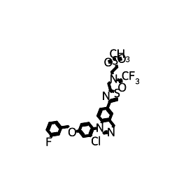 CS(=O)(=O)CCN(Cc1nc(-c2ccc3c(c2)CN=CN3c2ccc(OCc3cccc(F)c3)cc2Cl)cs1)C(=O)C(F)(F)F